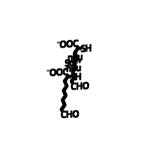 CCC[CH2][Sn+2][CH2]CCC.O=CCCCCCCCC(S)C(=O)[O-].O=CCCCCCCCC(S)C(=O)[O-]